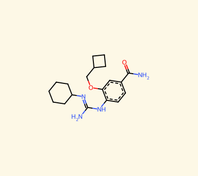 NC(=O)c1ccc(NC(N)=NC2CCCCC2)c(OCC2CCC2)c1